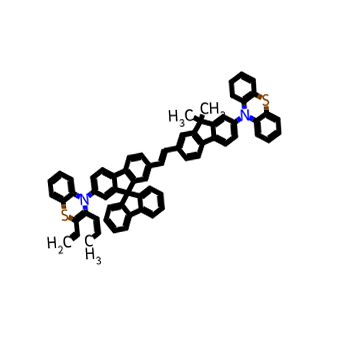 C=CC1=C(/C=C\C)N(c2ccc3c(c2)C2(c4ccccc4-c4ccccc42)c2cc(/C=C/c4ccc5c(c4)C(C)(C)c4cc(N6C7=C(C=CCC7)Sc7ccccc76)ccc4-5)ccc2-3)c2ccccc2S1